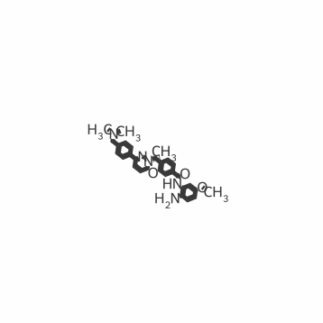 COc1ccc(N)c(NC(=O)c2ccc([C@H](C)n3nc(-c4ccc(CN(C)C)cc4)ccc3=O)cc2)c1